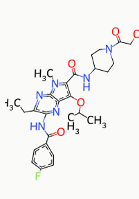 CCc1nc2c(nc1NC(=O)c1ccc(F)cc1)c(OC(C)C)c(C(=O)NC1CCN(C(=O)CO)CC1)n2C